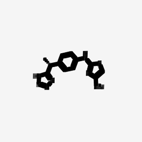 CCCCc1csc(Nc2ccc([C@@H](C)c3nnn[nH]3)cc2)n1